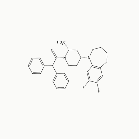 O=C(O)[C@@H]1C[C@H](N2CCCCc3cc(F)c(F)cc32)CCN1C(=O)C(c1ccccc1)c1ccccc1